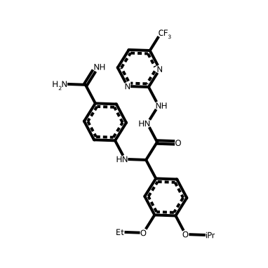 CCOc1cc(C(Nc2ccc(C(=N)N)cc2)C(=O)NNc2nccc(C(F)(F)F)n2)ccc1OC(C)C